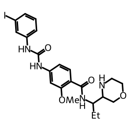 CCC(NC(=O)c1ccc(NC(=O)Nc2cccc(I)c2)cc1OC)C1COCCN1